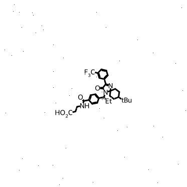 CC[C@H](c1ccc(C(=O)NCCC(=O)O)cc1)N1C(=O)C(c2cccc(C(F)(F)F)c2)=NC12CCC(C(C)(C)C)CC2